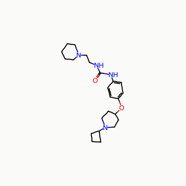 O=C(NCCN1CCCCC1)Nc1ccc(OC2CCN(C3CCC3)CC2)cc1